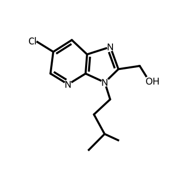 CC(C)CCn1c(CO)nc2cc(Cl)cnc21